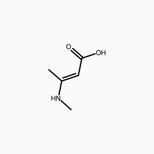 CNC(C)=CC(=O)O